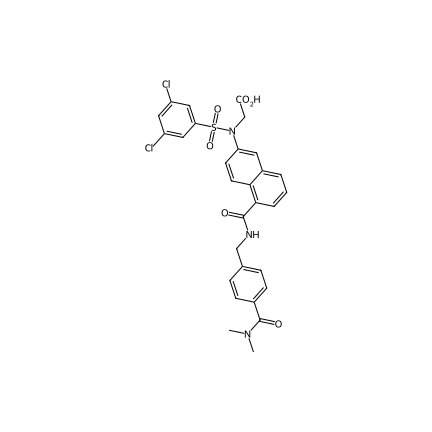 CN(C)C(=O)c1ccc(CNC(=O)c2cccc3cc(N(CC(=O)O)S(=O)(=O)c4cc(Cl)cc(Cl)c4)ccc23)cc1